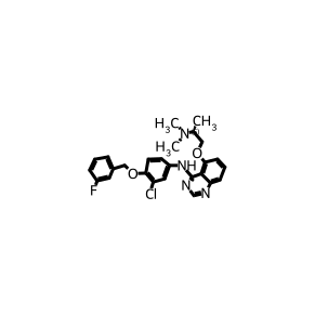 C[C@@H](COc1cccc2ncnc(Nc3ccc(OCc4cccc(F)c4)c(Cl)c3)c12)N(C)C